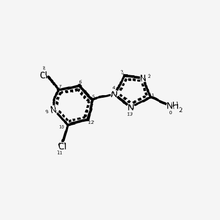 Nc1ncn(-c2cc(Cl)nc(Cl)c2)n1